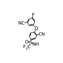 N#Cc1cc(F)cc(Oc2ccc(S(=N)(=O)C(F)(F)F)cc2C#N)c1